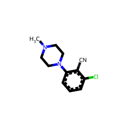 CN1CCN(c2cccc(Cl)c2C#N)CC1